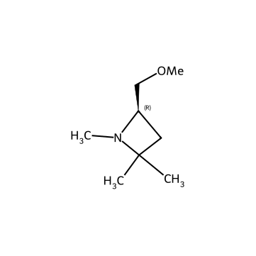 COC[C@H]1CC(C)(C)N1C